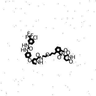 O=C1CCC(N2C(=O)c3cccc(CCCOCCNC(=O)c4cc(Oc5ccc(NC(=O)Nc6ccc(Cl)c(C(F)(F)F)c6)cc5)ccn4)c3C2=O)C(=O)N1